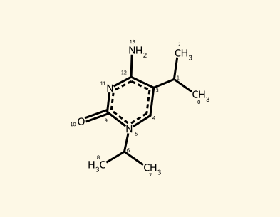 CC(C)c1cn(C(C)C)c(=O)nc1N